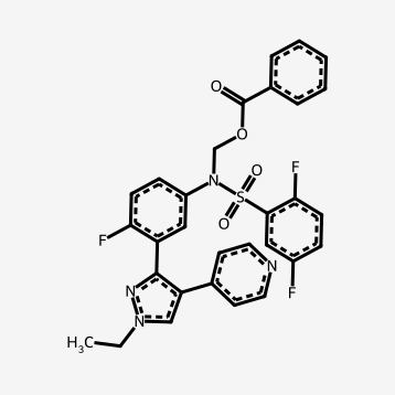 CCn1cc(-c2ccncc2)c(-c2cc(N(COC(=O)c3ccccc3)S(=O)(=O)c3cc(F)ccc3F)ccc2F)n1